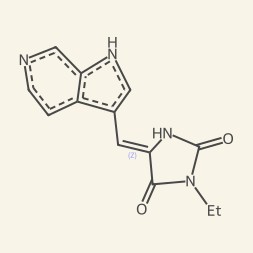 CCN1C(=O)N/C(=C\c2c[nH]c3cnccc23)C1=O